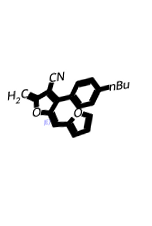 C=c1o/c(=C/c2ccco2)c(-c2ccc(CCCC)cc2)c1C#N